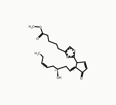 CC/C=C\C[C@H](O)C/C=C1/C(=O)C=CC1c1nc(CCCCC(=O)OC)cs1